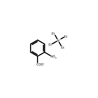 CC[N+](CC)(CC)CC.O=C([O-])c1ccccc1[N+](=O)[O-]